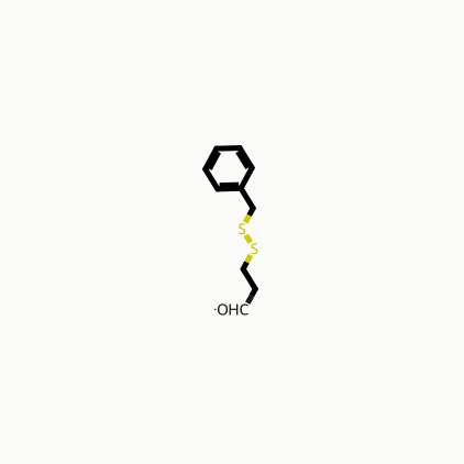 O=[C]CCSSCc1ccccc1